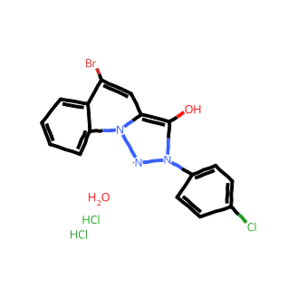 Cl.Cl.O.OC1=C2C=C(Br)c3ccccc3N2[N]N1c1ccc(Cl)cc1